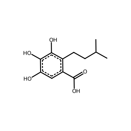 CC(C)CCc1c(C(=O)O)cc(O)c(O)c1O